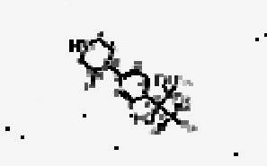 C[C@H]1CNCCN1c1ccc(C(O)(C(F)(F)F)C(F)(F)F)cc1